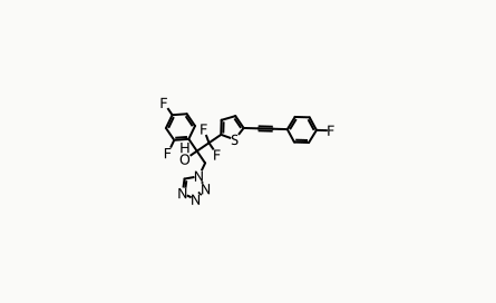 OC(Cn1cnnn1)(c1ccc(F)cc1F)C(F)(F)c1ccc(C#Cc2ccc(F)cc2)s1